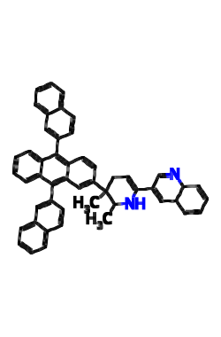 CC1NC(C2=CC3C=CC=CC3N=C2)=CCC1(C)c1ccc2c(-c3ccc4ccccc4c3)c3ccccc3c(-c3ccc4ccccc4c3)c2c1